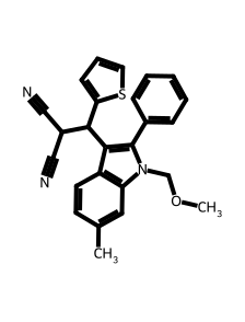 COCn1c(-c2ccccc2)c(C(c2cccs2)C(C#N)C#N)c2ccc(C)cc21